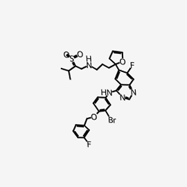 CC(C)C(CNCCCC1(c2cc3c(Nc4ccc(OCc5cccc(F)c5)c(Br)c4)ncnc3cc2F)CC=CO1)=S(=O)=O